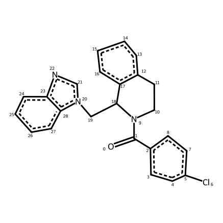 O=C(c1ccc(Cl)cc1)N1CCc2ccccc2C1Cn1cnc2ccccc21